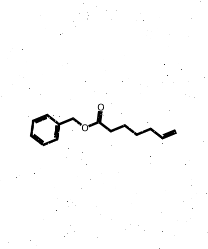 C=CCCCCC(=O)OCc1ccccc1